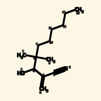 C=C(C#N)C(O)C(C)(C)CCCCCC